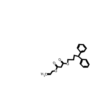 C=CCOC(=O)CC(=O)OCCCC(c1ccccc1)c1ccccc1